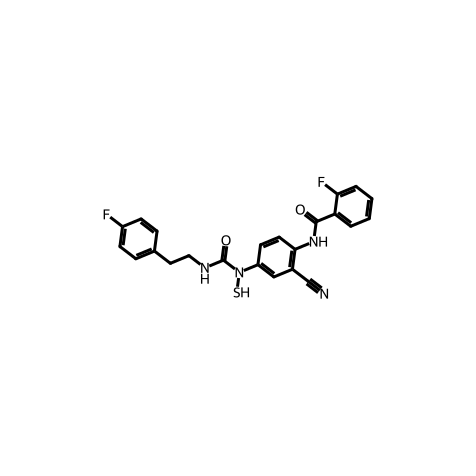 N#Cc1cc(N(S)C(=O)NCCc2ccc(F)cc2)ccc1NC(=O)c1ccccc1F